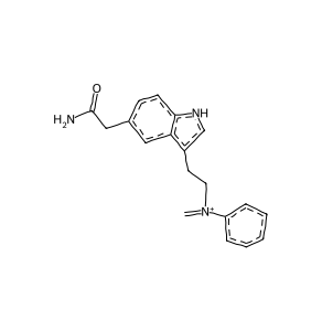 C=[N+](CCc1c[nH]c2ccc(CC(N)=O)cc12)c1ccccc1